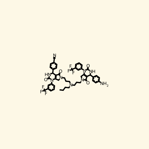 CCCCN(CCCN1CC2=C(C1=O)C(c1ccc(N)cc1)NC(=O)N2c1cccc(C(F)(F)F)c1)CCCN1CC2=C(C1=O)C(c1ccc(C#N)cc1)NC(=O)N2c1cccc(C(F)(F)F)c1